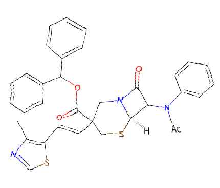 CC(=O)N(c1ccccc1)C1C(=O)N2CC(C=Cc3scnc3C)(C(=O)OC(c3ccccc3)c3ccccc3)CS[C@H]12